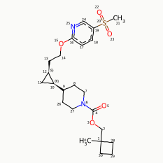 CC1(COC(=O)N2CCC([C@H]3C[C@H]3CCOc3ccc(S(C)(=O)=O)cn3)CC2)CCC1